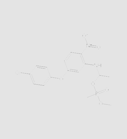 COP(C)(=O)OC(C)Nc1cc(Oc2ccc(Cl)cc2)ccc1[N+](=O)[O-]